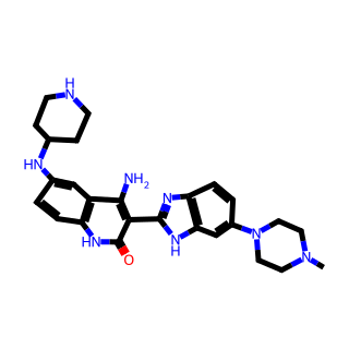 CN1CCN(c2ccc3nc(-c4c(N)c5cc(NC6CCNCC6)ccc5[nH]c4=O)[nH]c3c2)CC1